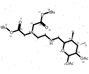 CC(=O)OC1OC(CNCCN(CC(=O)OC(C)(C)C)CC(=O)OC(C)(C)C)[C@@H](C)[C@H](C)C1OC(C)=O